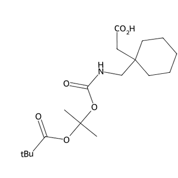 CC(C)(OC(=O)NCC1(CC(=O)O)CCCCC1)OC(=O)C(C)(C)C